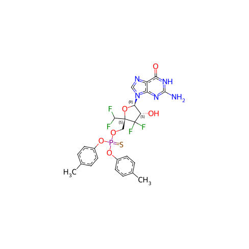 Cc1ccc(OP(=S)(OC[C@@]2(C(F)F)O[C@@H](n3cnc4c(=O)[nH]c(N)nc43)[C@H](O)C2(F)F)Oc2ccc(C)cc2)cc1